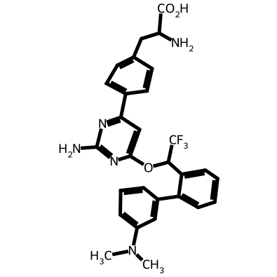 CN(C)c1cccc(-c2ccccc2C(Oc2cc(-c3ccc(CC(N)C(=O)O)cc3)nc(N)n2)C(F)(F)F)c1